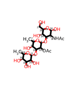 CC(=O)NC1C(O[C@@H]2OC(C)[C@H](O)C(O[C@@H]3OC(C)[C@H](O)C(O)C3O)C2OC(C)=O)[C@H](O)C(CO)O[C@H]1O